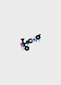 Cc1cc(F)c2nc(N3CCC4(C=C(c5c(-c6c(F)cccc6F)noc5C5CC5)C4)CC3)sc2c1